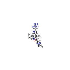 CC(C)C(C)(c1ccc(-c2cnc(N)nc2)nc1)c1cc(-c2cnn(C)c2)on1